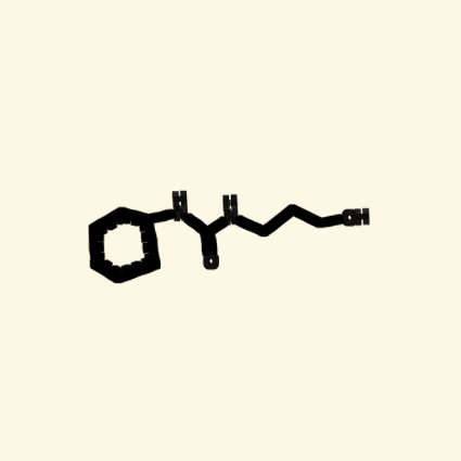 O=C(NCCCO)Nc1ccccc1